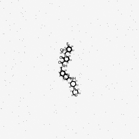 O=C(NCc1ccc2ncc(N[C@H]3CC[C@H](N4CCOCC4)CC3)nc2c1)c1cccn([C@H](CO)c2cccc(F)c2)c1=O